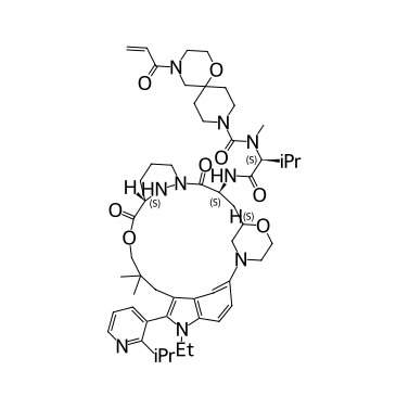 C=CC(=O)N1CCOC2(CCN(C(=O)N(C)[C@H](C(=O)N[C@H]3C[C@H]4CN(CCO4)c4ccc5c(c4)c(c(-c4cccnc4C(C)C)n5CC)CC(C)(C)COC(=O)[C@@H]4CCCN(N4)C3=O)C(C)C)CC2)C1